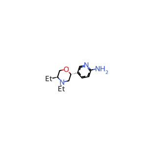 CC[C@H]1CO[C@H](c2ccc(N)nc2)CN1CC